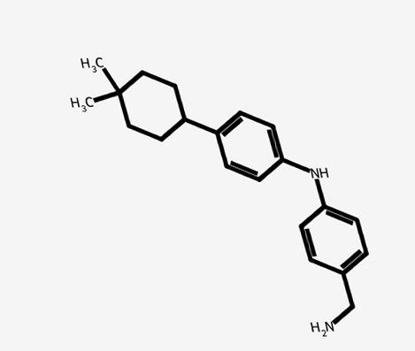 CC1(C)CCC(c2ccc(Nc3ccc(CN)cc3)cc2)CC1